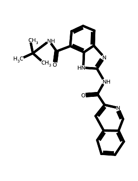 CC(C)(C)NC(=O)c1cccc2nc(NC(=O)c3cc4ccccc4cn3)[nH]c12